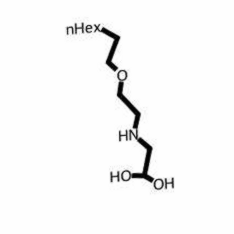 CCCCCCCCOCCNCC(O)O